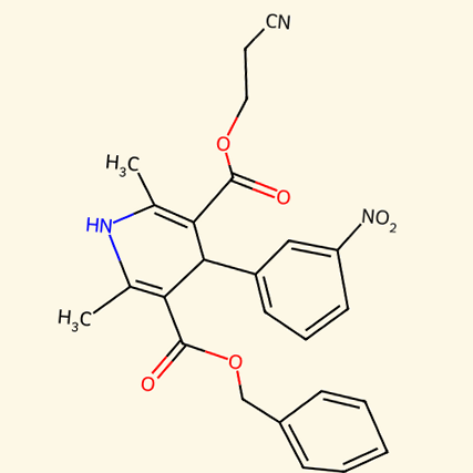 CC1=C(C(=O)OCCC#N)C(c2cccc([N+](=O)[O-])c2)C(C(=O)OCc2ccccc2)=C(C)N1